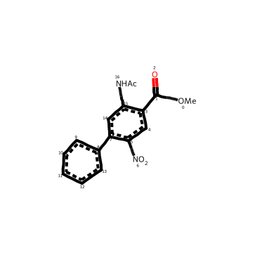 COC(=O)c1cc([N+](=O)[O-])c(-c2ccccc2)cc1NC(C)=O